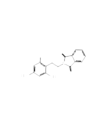 Cc1cc(C)c(CCN2C(=O)c3ccccc3C2=O)c(C)c1